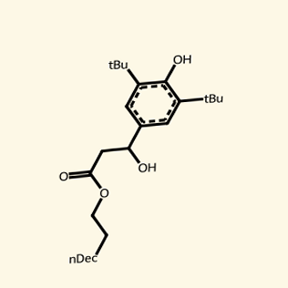 CCCCCCCCCCCCOC(=O)CC(O)c1cc(C(C)(C)C)c(O)c(C(C)(C)C)c1